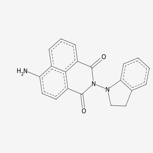 Nc1ccc2c3c(cccc13)C(=O)N(N1CCc3ccccc31)C2=O